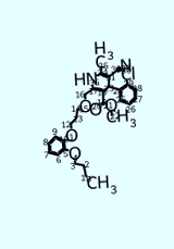 CCCCOc1ccccc1OCCCOCC1=C(C(=O)OC)C(c2ccccc2Cl)C(C#N)=C(C)N1